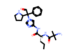 CCC[C@@H](NC(=O)C(C)(C)N)C(=O)Nc1cn(C(C=O)(c2ccccc2)C2CCCN2)cn1